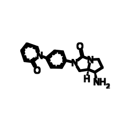 N[C@@H]1CCN2C(=O)N(c3ccc(-n4ccccc4=O)cc3)C[C@H]12